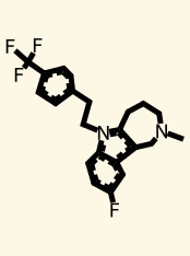 CN1CCCc2c(c3cc(F)ccc3n2CCc2ccc(C(F)(F)F)cc2)C1